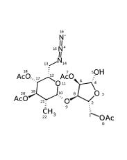 CC(=O)OC[C@H]1O[C@@H](O)[C@H](OC(C)=O)[C@@H]1O[C@H]1O[C@@H](CN=[N+]=[N-])[C@@H](OC(C)=O)[C@H](OC(C)=O)[C@H]1C